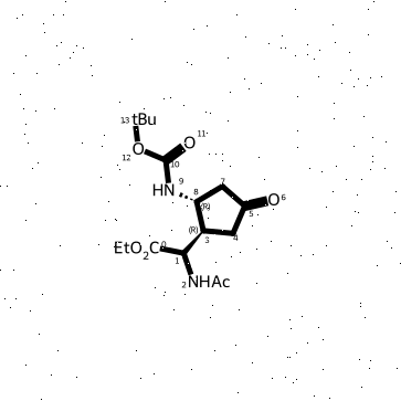 CCOC(=O)C(NC(C)=O)[C@@H]1CC(=O)C[C@H]1NC(=O)OC(C)(C)C